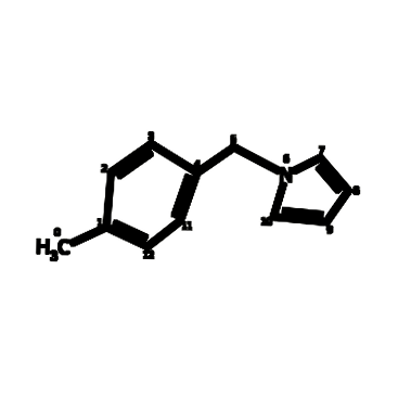 Cc1ccc(Cn2cccc2)cc1